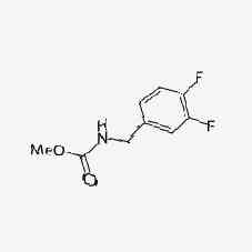 COC(=O)NCc1ccc(F)c(F)c1